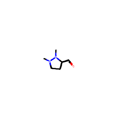 CN1CCC(C=O)N1C